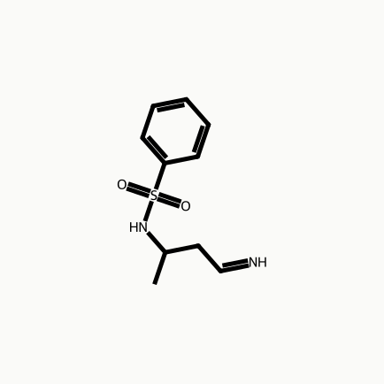 CC(CC=N)NS(=O)(=O)c1ccccc1